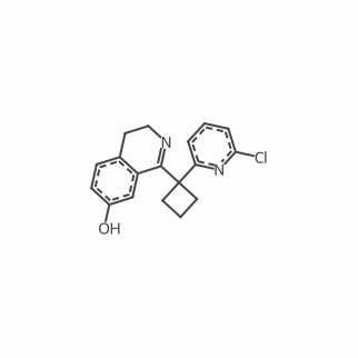 Oc1ccc2c(c1)C(C1(c3cccc(Cl)n3)CCC1)=NCC2